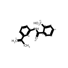 C=C(C)c1cccc(NC(=O)c2ccccc2C(=O)O)c1